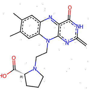 C=c1nc2c(c(=O)[nH]1)=Nc1cc(C)c(C)cc1N2CCN1CCC[C@@H]1C(=O)O